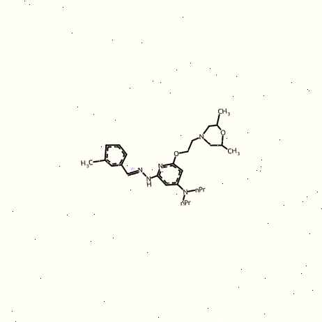 CCCN(CCC)c1cc(N/N=C/c2cccc(C)c2)nc(OCCN2CC(C)OC(C)C2)c1